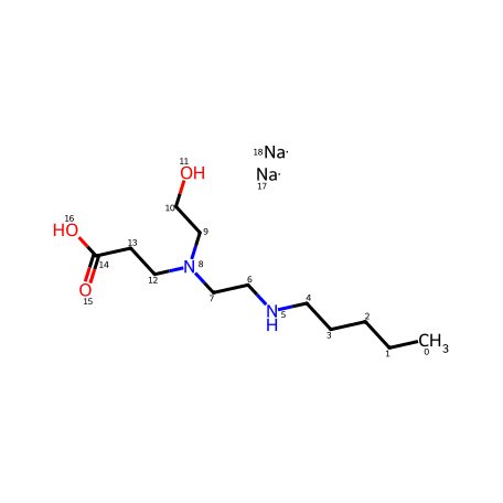 CCCCCNCCN(CCO)CCC(=O)O.[Na].[Na]